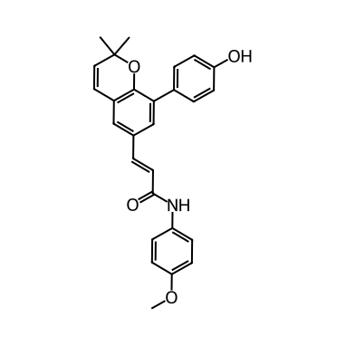 COc1ccc(NC(=O)/C=C/c2cc3c(c(-c4ccc(O)cc4)c2)OC(C)(C)C=C3)cc1